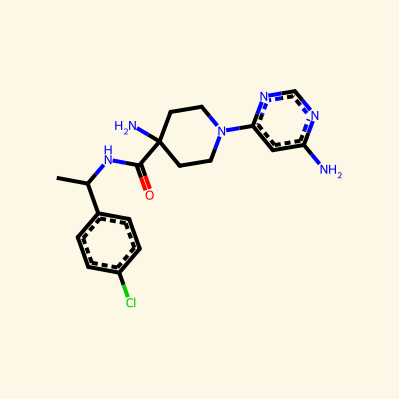 CC(NC(=O)C1(N)CCN(c2cc(N)ncn2)CC1)c1ccc(Cl)cc1